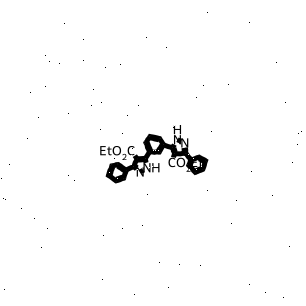 CCOC(=O)c1c(-c2ccccc2)n[nH]c1-c1cccc(-c2[nH]nc(-c3ccccc3)c2C(=O)OCC)c1